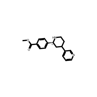 COC(=O)c1ccc([C@@H]2CC(c3cccnc3)CCN2)cc1